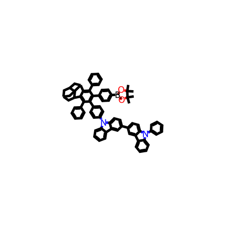 CC1(C)OB(c2ccc(-c3c(-c4ccc(-n5c6ccccc6c6cc(-c7ccc8c(c7)c7ccccc7n8-c7ccccc7)ccc65)cc4)c(-c4ccccc4)c4c(c3-c3ccccc3)C3CC5CC(C3)CC4C5)cc2)OC1(C)C